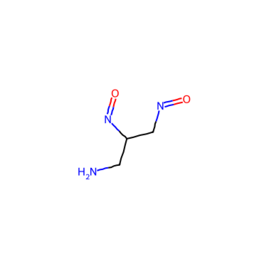 NCC(CN=O)N=O